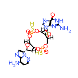 Nc1nc2c(ncn2[C@@H]2O[C@@H]3COP(=O)(S)O[C@H]4C[C@H](c5cnc6c(N)ccnn56)O[C@@H]4COP(=O)(S)O[C@@H]2[C@@H]3F)c(=O)[nH]1